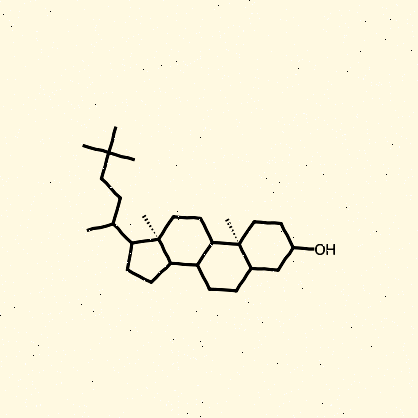 CC(CCC(C)(C)C)C1CCC2C3CCC4CC(O)CC[C@]4(C)C3CC[C@]12C